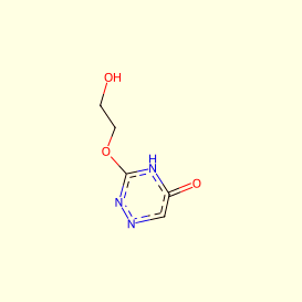 O=c1cnnc(OCCO)[nH]1